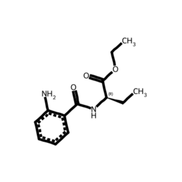 CCOC(=O)[C@@H](CC)NC(=O)c1ccccc1N